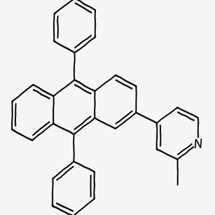 Cc1cc(-c2ccc3c(-c4ccccc4)c4ccccc4c(-c4ccccc4)c3c2)ccn1